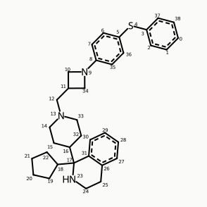 c1ccc(Sc2ccc(N3CC(CN4CCC(C5(C6CCCC6)NCCc6ccccc65)CC4)C3)cc2)cc1